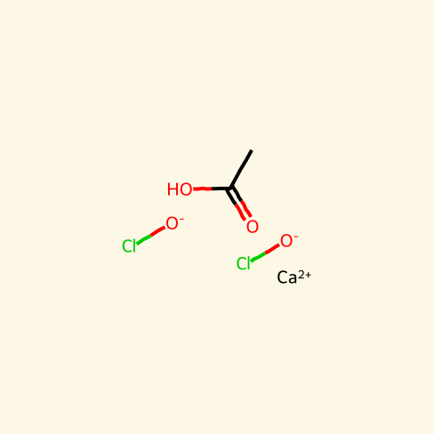 CC(=O)O.[Ca+2].[O-]Cl.[O-]Cl